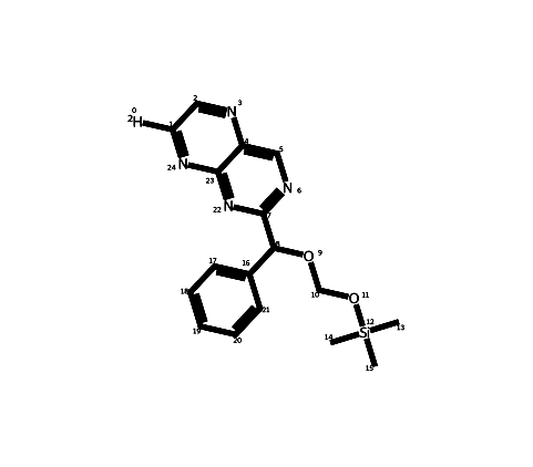 [2H]c1cnc2cnc(C(OCO[Si](C)(C)C)c3ccccc3)nc2n1